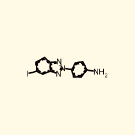 Nc1ccc(-n2nc3ccc(I)cc3n2)cc1